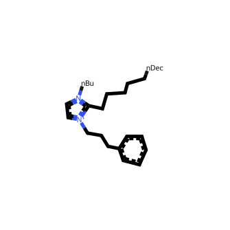 CCCCCCCCCCCCCCCc1n(CCCC)cc[n+]1CCCc1ccccc1